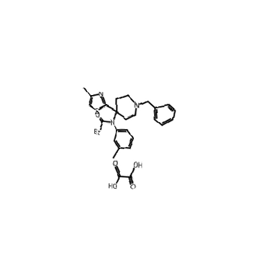 CCC(=O)N(c1cccc(C)c1)C1(c2nc(C)cs2)CCN(Cc2ccccc2)CC1.O=C(O)C(=O)O